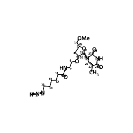 COC[C@@H]1C[C@H](OCCNC(=O)CCCCCN=[N+]=[N-])[C@H](n2cc(C)c(=O)[nH]c2=O)O1